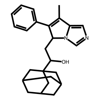 CC1=C(c2ccccc2)C(CC(O)C23CC4CC(CC(C4)C2)C3)n2cncc21